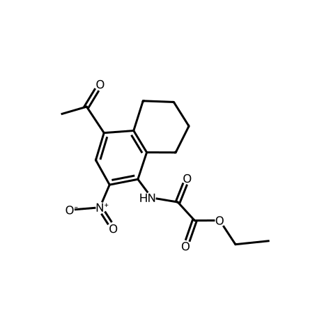 CCOC(=O)C(=O)Nc1c([N+](=O)[O-])cc(C(C)=O)c2c1CCCC2